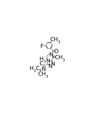 C=C(C)/N=C(\C)c1nnc2n1CCN(C(=O)c1cc(C)cc(F)c1)[C@@H]2C